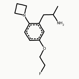 CC(N)Cc1cc(OCCF)ccc1N1CCC1